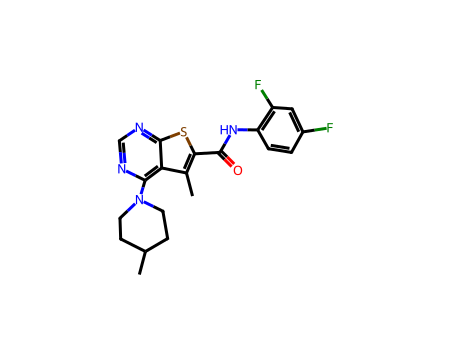 Cc1c(C(=O)Nc2ccc(F)cc2F)sc2ncnc(N3CCC(C)CC3)c12